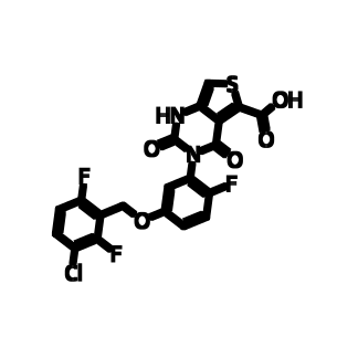 O=C(O)c1scc2[nH]c(=O)n(-c3cc(OCc4c(F)ccc(Cl)c4F)ccc3F)c(=O)c12